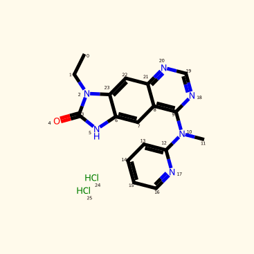 CCn1c(=O)[nH]c2cc3c(N(C)c4ccccn4)ncnc3cc21.Cl.Cl